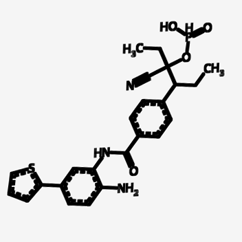 CCC(c1ccc(C(=O)Nc2cc(-c3cccs3)ccc2N)cc1)C(C#N)(CC)O[PH](=O)O